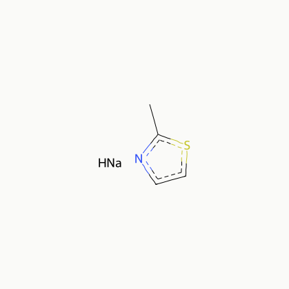 Cc1nccs1.[NaH]